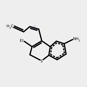 C=C/C=C\C1=C(CC)CSc2ccc(N)cc21